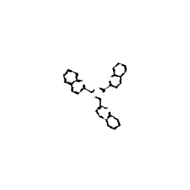 c1ccc2nc(-c3nc(-c4ccc5ccccc5n4)nc(-c4ccc5ccccc5n4)n3)ccc2c1